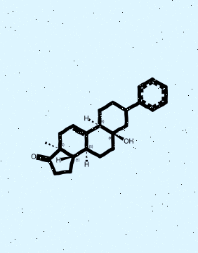 C[C@]12CC=C3[C@@H](CC[C@@]4(O)CC(c5ccccc5)CC[C@H]34)[C@@H]1CCC2=O